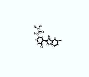 Cc1cnc2nc(-c3cc(NC(=O)N(C)C)ccc3Cl)[nH]c2c1